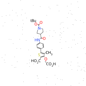 Cc1c(-c2ccc(NC(=O)C3CCN(C(=O)OC(C)(C)C)CC3)cc2)sc(C(=O)O)c1OCC(=O)O